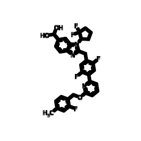 Cc1ccc(COc2cccc(-c3cc(F)c(Cc4nc5ccc(C(O)O)cc5n4C4CCCC4(F)F)cc3F)n2)c(F)c1